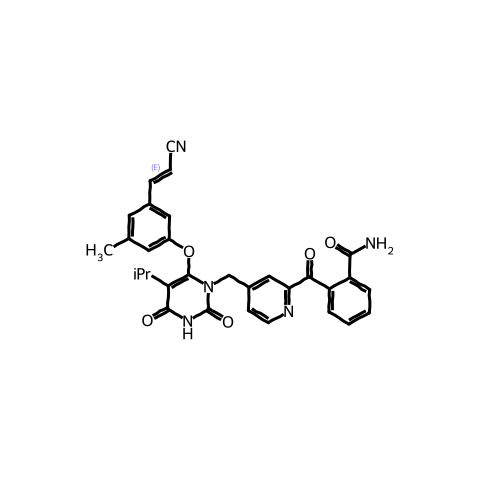 Cc1cc(/C=C/C#N)cc(Oc2c(C(C)C)c(=O)[nH]c(=O)n2Cc2ccnc(C(=O)c3ccccc3C(N)=O)c2)c1